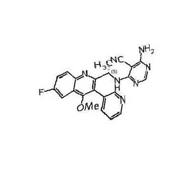 COc1c(-c2cccnc2)c([C@H](C)Nc2ncnc(N)c2C#N)nc2ccc(F)cc12